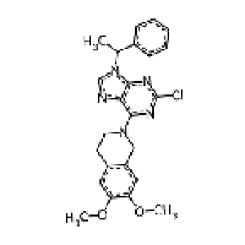 COc1cc2c(cc1OC)CN(c1nc(Cl)nc3c1ncn3C(C)c1ccccc1)CC2